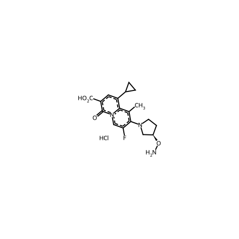 Cc1c(N2CC[C@@H](ON)C2)c(F)cn2c(=O)c(C(=O)O)cc(C3CC3)c12.Cl